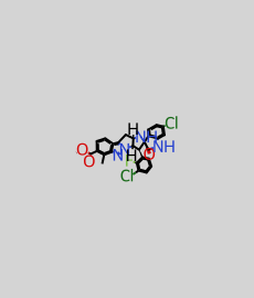 COC(=O)c1ccc2c3n(nc2c1C)[C@@H]1[C@H](C3)N[C@@]2(C(=O)Nc3cc(Cl)ccc32)[C@H]1c1cccc(Cl)c1F